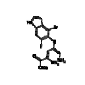 COC(=O)/C(N)=C/C(=C\N)Oc1c(F)cc2[nH]ccc2c1Br